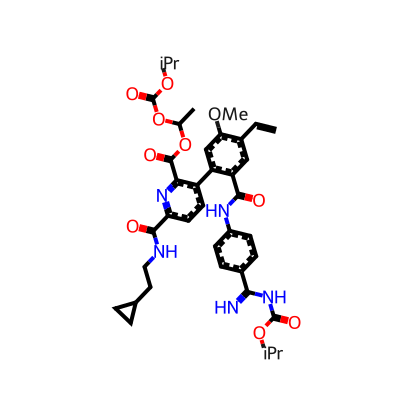 C=Cc1cc(C(=O)Nc2ccc(C(=N)NC(=O)OC(C)C)cc2)c(-c2ccc(C(=O)NCCC3CC3)nc2C(=O)OC(C)OC(=O)OC(C)C)cc1OC